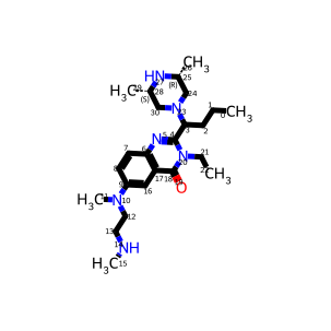 CCCC(c1nc2ccc(N(C)CCNC)cc2c(=O)n1CC)N1C[C@@H](C)N[C@@H](C)C1